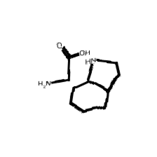 C1CCC2NCCC2C1.NCC(=O)O